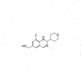 OCc1cc(F)c2c(c1)C=NC(C1CCOCC1)N2